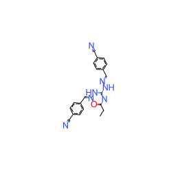 CCC(=O)N=C(NN=Cc1ccc(C#N)cc1)NN=Cc1ccc(C#N)cc1